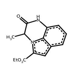 CCOC(=O)c1cc2cccc3c2n1C(C)C(=O)N3